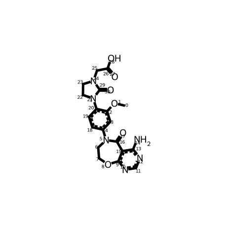 COc1cc(N2CCOc3ncnc(N)c3C2=O)ccc1N1CCN(CC(=O)O)C1=O